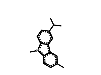 Cc1ccc2c(c1)c1cc(C(C)C)ccc1n2C